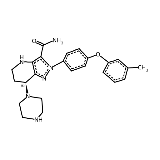 Cc1cccc(Oc2ccc(-n3nc4c(c3C(N)=O)NCC[C@@H]4N3CCNCC3)cc2)c1